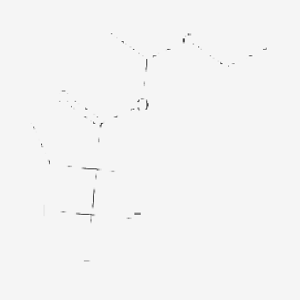 CCOC(C)OC(=O)C(C)(CC)C(F)(F)F